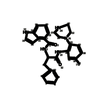 O=C(NC(Cc1ccccc1)C(=O)Nc1cc(F)ccc1N1CCNCC1)c1cccc2[nH]ccc12